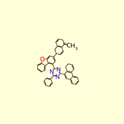 C[C@@H]1CC=CC2=C1C=CC(c1cc(-c3nc(-c4ccccc4)nc(-c4cc5ccccc5c5c4CCC=C5)n3)c3c(c1)oc1ccccc13)C2